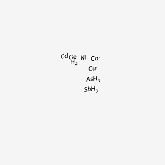 [AsH3].[Cd].[Co].[Cu].[GeH4].[Ni].[SbH3]